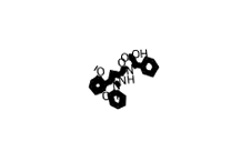 COc1cccc(O)c1-c1cc(C(=O)NC(C(=O)O)C2CCCCC2)nn1C1C=CCCC1